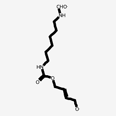 [O]CC=CCOC(=O)NCCCCCCN[C]=O